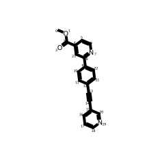 COC(=O)c1ccnc(-c2ccc(C#Cc3cccnc3)cc2)c1